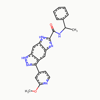 COc1cc(-c2n[nH]c3cc4[nH]c(C(=O)NC(C)c5ccccc5)nc4cc23)ccn1